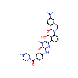 CN1CCN(C(=O)c2ccc(Nc3nc(-c4cccc(N5CCc6cc(N(C)C)ccc6C5=O)c4CO)cn(C)c3=O)cc2)CC1